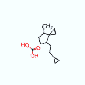 CC1CCC(CCC2CC2)C12CC2.O=C(O)O